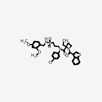 CCC1(C(=O)N(CCCS(=O)(=O)NCc2ccc(OC)cc2OC)c2ccc(Cl)cc2)CCN1C(=O)c1csc2ccccc12